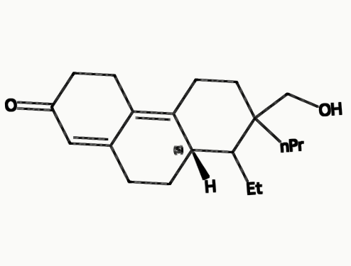 CCCC1(CO)CCC2=C3CCC(=O)C=C3CC[C@H]2C1CC